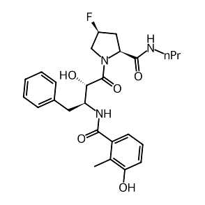 CCCNC(=O)[C@@H]1C[C@H](F)CN1C(=O)[C@@H](O)[C@H](Cc1ccccc1)NC(=O)c1cccc(O)c1C